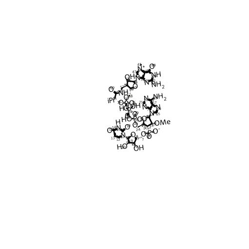 CO[C@@H]1[C@H](P(=O)([O-])OC[C@H]2O[C@@H](n3ccc(=O)[nH]c3=O)[C@H](O)[C@@H]2O)[C@@H](COP(=O)(O)OP(=O)(O)OP(=O)(O)OC[C@H]2O[C@@H](n3c[n+](C)c4c(=O)[nH]c(N)nc43)[C@H](O)[C@@H]2CNC(=O)C(C)C)O[C@H]1n1cnc2c(N)ncnc21